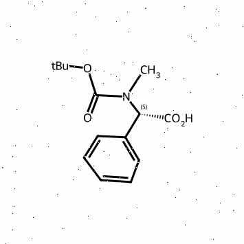 CN(C(=O)OC(C)(C)C)[C@H](C(=O)O)c1ccccc1